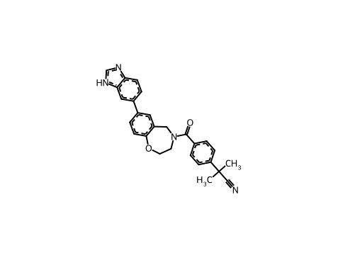 CC(C)(C#N)c1ccc(C(=O)N2CCOc3ccc(-c4ccc5nc[nH]c5c4)cc3C2)cc1